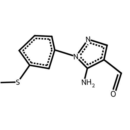 CSc1cccc(-n2ncc(C=O)c2N)c1